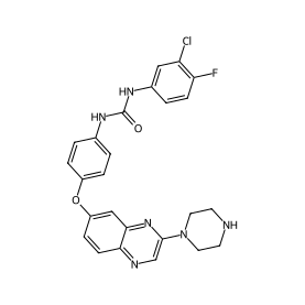 O=C(Nc1ccc(Oc2ccc3ncc(N4CCNCC4)nc3c2)cc1)Nc1ccc(F)c(Cl)c1